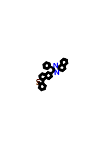 c1ccc(-c2nc3c(ccc4ccccc43)nc2-c2ccc3c(ccc4sc5ccccc5c43)c2)cc1